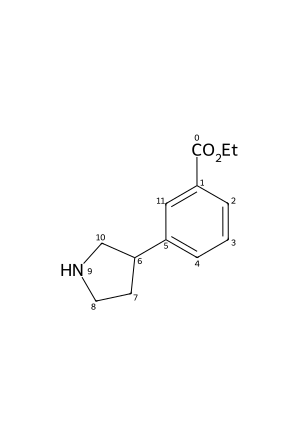 CCOC(=O)c1cccc(C2CCNC2)c1